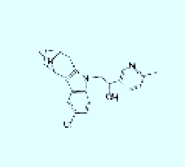 Cc1ccc(C(O)Cn2c3c(c4cc(Cl)ccc42)C2CCC(C3)N2C)cn1